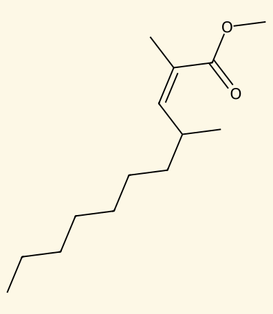 CCCCCCCC(C)C=C(C)C(=O)OC